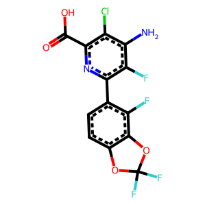 Nc1c(F)c(-c2ccc3c(c2F)OC(F)(F)O3)nc(C(=O)O)c1Cl